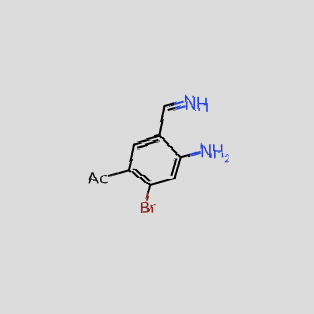 CC(=O)c1cc(C=N)c(N)cc1Br